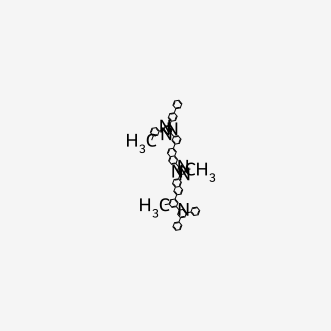 Cc1cc(-c2ccc3cc(-c4nc(C)nc(-c5ccc6ccc(-c7cccc(-c8nc(-c9ccc(-c%10ccccc%10)cc9)nc(-c9cccc(C)c9)n8)c7)cc6c5)n4)ccc3c2)cc(-c2cc(-c3ccccc3)cc(-c3ccccc3)n2)c1